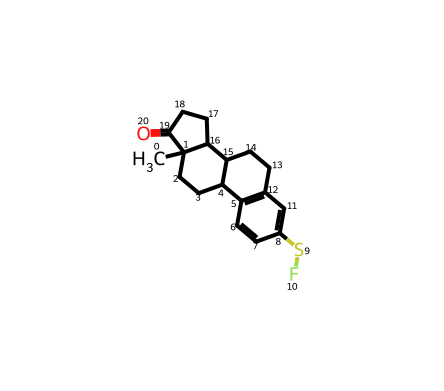 CC12CCC3c4ccc(SF)cc4CCC3C1CCC2=O